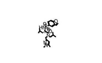 Cc1cc(CN(CC(C)C)C(=O)[C@H](CC(C)C)NS(=O)(=O)c2ccc3occc3c2)nn1C